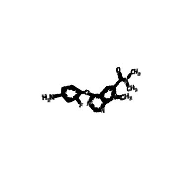 CN(C)C(=O)c1cc2c(Oc3ccc(N)cc3F)ncnc2n1C